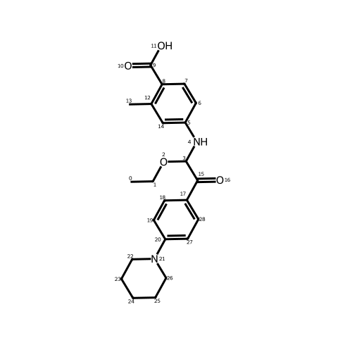 CCOC(Nc1ccc(C(=O)O)c(C)c1)C(=O)c1ccc(N2CCCCC2)cc1